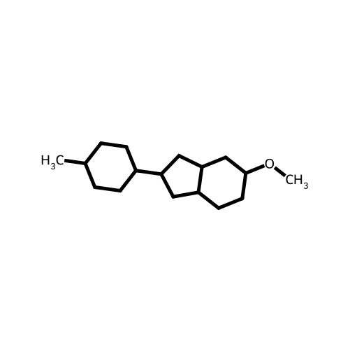 COC1CCC2CC(C3CCC(C)CC3)CC2C1